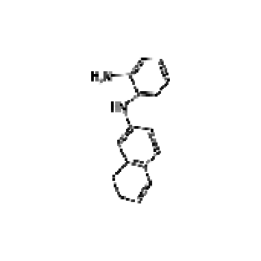 Nc1ccccc1Nc1ccc2c(c1)CCC=C2